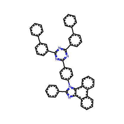 c1ccc(-c2cccc(-c3nc(-c4ccc(-n5c(-c6ccccc6)nc6c7ccccc7c7ccccc7c65)cc4)nc(-c4cccc(-c5ccccc5)c4)n3)c2)cc1